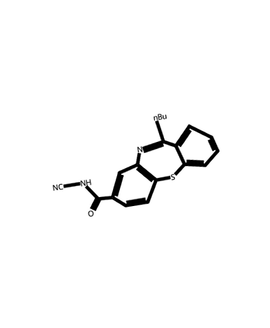 CCCCC1=Nc2cc(C(=O)NC#N)ccc2Sc2ccccc21